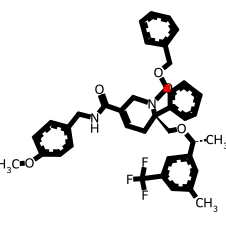 COc1ccc(CNC(=O)C2=CC[C@@](CO[C@H](C)c3cc(C)cc(C(F)(F)F)c3)(c3ccccc3)N(C(=O)OCc3ccccc3)C2)cc1